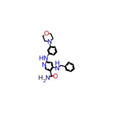 NC(=O)c1cnc(Nc2cccc(N3CCOCC3)c2)cc1NCc1ccccc1